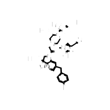 Cc1nc(C#N)cn1C[C@H]1CN(C(=O)OC(C)(C)C)[C@H](C)CN1CC(=O)N1CC(C)(C)C2NC=C(Cc3ccc(F)cc3)C=C21